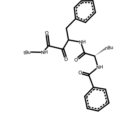 CCCC[C@H](NC(=O)c1ccccc1)C(=O)NC(Cc1ccccc1)C(=O)C(=O)NC(C)(C)C